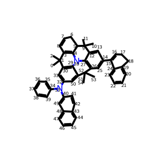 CC1(C)C2=C3C(CC=C2)C(C)(C)c2cc(C4=CCCc5ccccc54)cc4c2N3c2c1cc(N(c1ccccc1)c1ccc3ccccc3c1)cc2C4(C)C